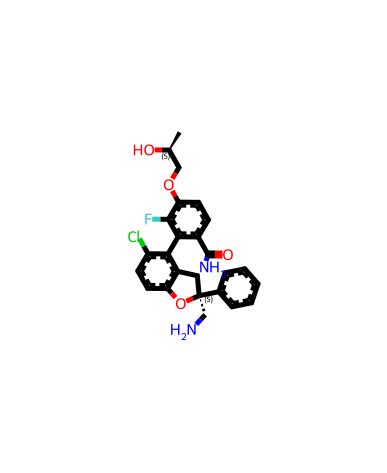 C[C@H](O)COc1ccc(C(N)=O)c(-c2c(Cl)ccc3c2C[C@@](CN)(c2ccccc2)O3)c1F